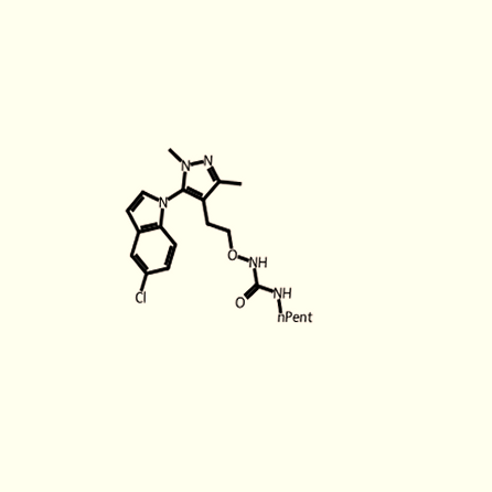 CCCCCNC(=O)NOCCc1c(C)nn(C)c1-n1ccc2cc(Cl)ccc21